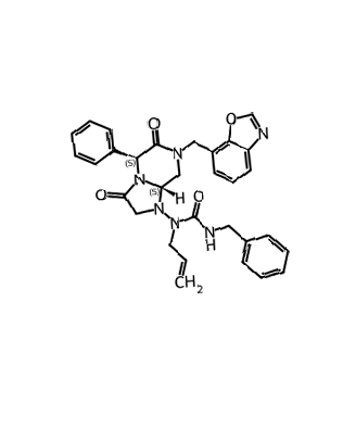 C=CCN(C(=O)NCc1ccccc1)N1CC(=O)N2[C@@H](c3ccccc3)C(=O)N(Cc3cccc4ncoc34)C[C@@H]21